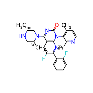 Cc1ccnc(C(C)C)c1-n1c(=O)nc(N2C[C@@H](C)NC[C@@H]2C)c2cc(F)c(-c3ccccc3F)nc21